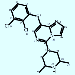 CC1CN(c2ncc(Sc3cccc(Cl)c3Cl)c3nccn23)CC(C)N1